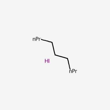 CCCCCCCCC.I